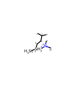 CC(C)CC[SiH2][SiH3].CN(C)C